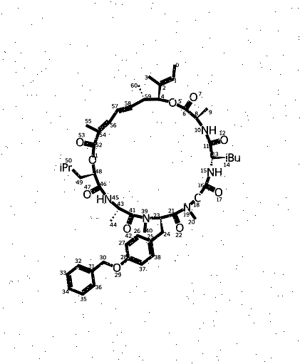 C/C=C(\C)[C@H]1OC(=O)[C@@H](C)NC(=O)[C@H]([C@H](C)CC)NC(=O)CN(C)C(=O)[C@@H](Cc2ccc(OCc3ccccc3)cc2)N(C)C(=O)[C@H](C)NC(=O)[C@@H](CC(C)C)OC(=O)/C(C)=C/C=C/[C@@H]1C